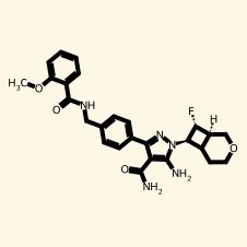 COc1ccccc1C(=O)NCc1ccc(-c2nn([C@@H]3C4CCOC[C@@H]4[C@H]3F)c(N)c2C(N)=O)cc1